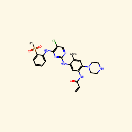 C=CC(=O)Nc1cc(Nc2ncc(Cl)c(Nc3ccccc3S(=O)(=O)C(C)C)n2)c(OC)cc1N1CCNCC1